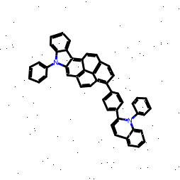 C1=Cc2ccccc2N(c2ccccc2)C=1c1ccc(-c2ccc3ccc4c5c(ccc2c35)cc2c4c3ccccc3n2-c2ccccc2)cc1